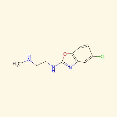 CNCCNc1nc2cc(Cl)ccc2o1